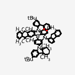 Cc1cc2c3c(c1)N(c1cccc4c1Cc1ccccc1-4)c1cc(N4c5ccc(C(C)(C)C)cc5C5(C)CCCCC45C)ccc1B3c1cc3c(cc1N2c1ccc(C(C)(C)C)cc1-c1ccccc1)C(C)(C)c1ccccc1C3(C)C